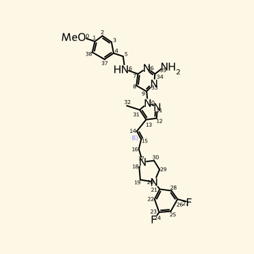 COc1ccc(CNc2cc(-n3ncc(/C=C/CN4CCN(c5cc(F)cc(F)c5)CC4)c3C)nc(N)n2)cc1